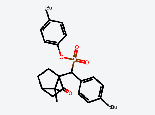 CC(C)(C)c1ccc(OS(=O)(=O)C(c2ccc(C(C)(C)C)cc2)C23CCC(CC2=O)C3(C)C)cc1